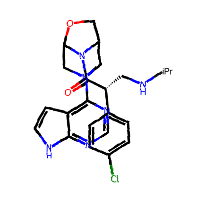 CC(C)NC[C@@H](C(=O)N1C2COC1CN(c1ncnc3[nH]ccc13)C2)c1ccc(Cl)cc1